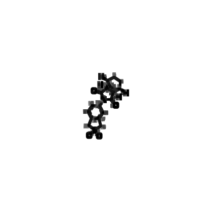 O=C1[C@@H]2[C@H]3CC[C@H](CC3)[C@@H]2C(=O)N1c1ccc2c(c1)CS(=O)(=O)C2